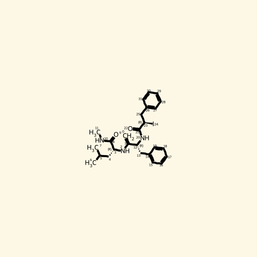 C=C(N[C@H](CC(C)C)C(=O)NC)[C@@H](Cc1ccccc1)NC(=O)[C@H](I)Cc1ccccc1